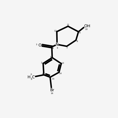 Cc1cc(C(=O)N2CCC(O)CC2)ccc1Br